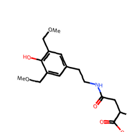 COCc1cc(CCNC(=O)CC2CCOC2=O)cc(COC)c1O